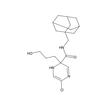 O=C(NCC12CC3CC(CC(C3)C1)C2)C1(CCCO)C=NC(Cl)=CN1